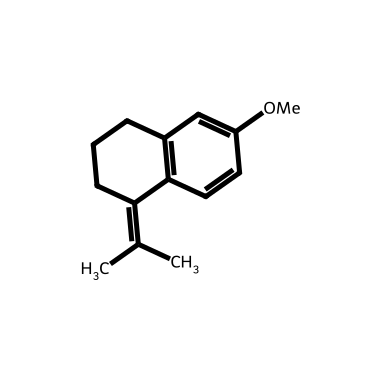 COc1ccc2c(c1)CCCC2=C(C)C